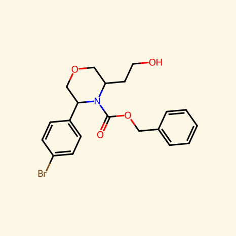 O=C(OCc1ccccc1)N1C(CCO)COCC1c1ccc(Br)cc1